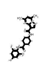 Cc1cc(C)n2ncc(C(=O)NC3CCC(C(=O)Nc4c(F)cc(F)cc4Cl)CC3)c2n1